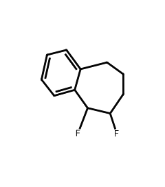 FC1CCCc2ccccc2C1F